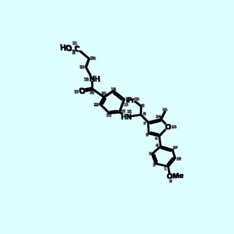 COc1ccc(-c2cc(C(CC(C)C)Nc3ccc(C(=O)NCCC(=O)O)cc3)c(C)o2)cc1